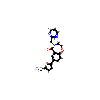 O=C1c2cc(-c3ccc(C(F)(F)F)s3)ccc2OCCN1Cc1ncccn1